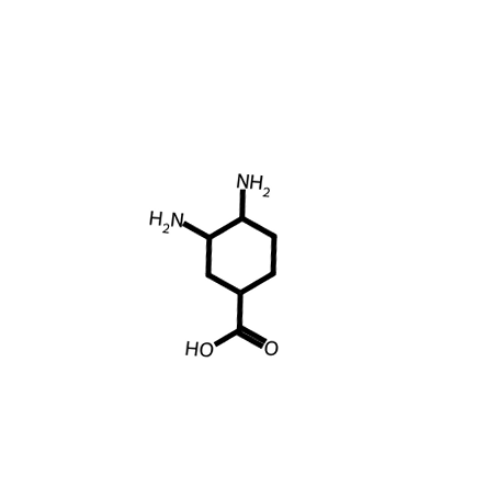 NC1CCC(C(=O)O)CC1N